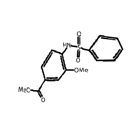 COC(=O)c1ccc(NS(=O)(=O)c2ccccc2)c(OC)c1